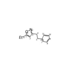 CCc1cc(CCc2ccccc2)no1